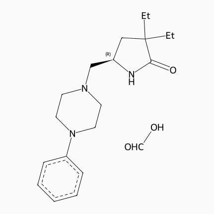 CCC1(CC)C[C@H](CN2CCN(c3ccccc3)CC2)NC1=O.O=CO